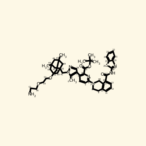 Cc1c(-c2ccc(N3CCc4cccc(C(=O)Nc5nc6ccccc6s5)c4C3)nc2C(=O)OC(C)(C)C)cnn1CC12CC3(C)CC(C)(C1)CC(OCCOCCN)(C3)C2